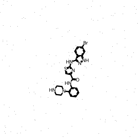 O=C(Nc1ccccc1N1CCNCC1)c1csc(Nc2n[nH]c3cc(Br)ccc23)n1